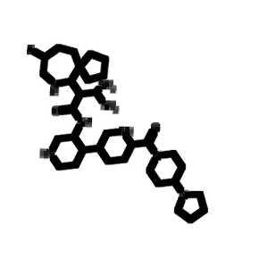 NC(N)C(C(=O)NC1CNCCC1C1CCC(C(=O)N2CCC(N3CCCC3)CC2)NC1)C1NCC(F)CCC12CCCC2